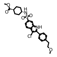 COCCc1ccc(-c2[nH]c3cc(S(=O)(=O)N[C@H]4CC[C@H](C(=O)OC)CC4)ccc3c2Cl)cc1